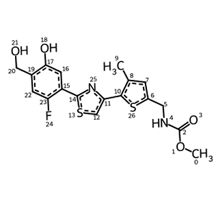 COC(=O)NCc1cc(C)c(-c2csc(-c3cc(O)c(CO)cc3F)n2)s1